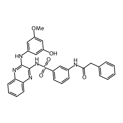 COc1cc(O)cc(Nc2nc3ccccc3nc2NS(=O)(=O)c2cccc(NC(=O)Cc3ccccc3)c2)c1